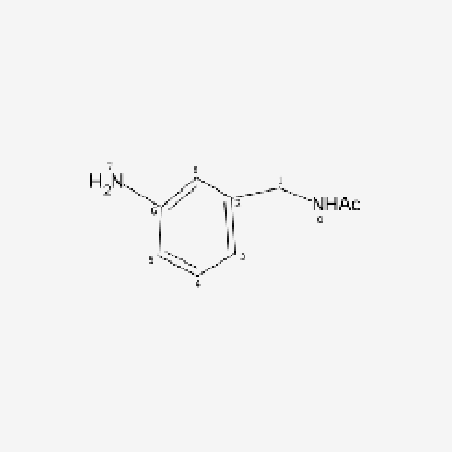 [CH2]C(=O)NCc1cccc(N)c1